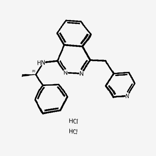 C[C@@H](Nc1nnc(Cc2ccncc2)c2ccccc12)c1ccccc1.Cl.Cl